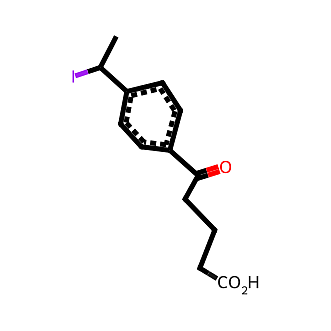 CC(I)c1ccc(C(=O)CCCC(=O)O)cc1